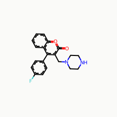 O=c1oc2ccccc2c(-c2ccc(F)cc2)c1CN1CCNCC1